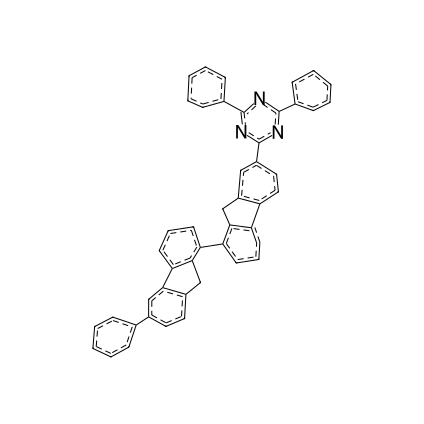 c1ccc(-c2ccc3c(c2)-c2cccc(-c4cccc5c4Cc4cc(-c6nc(-c7ccccc7)nc(-c7ccccc7)n6)ccc4-5)c2C3)cc1